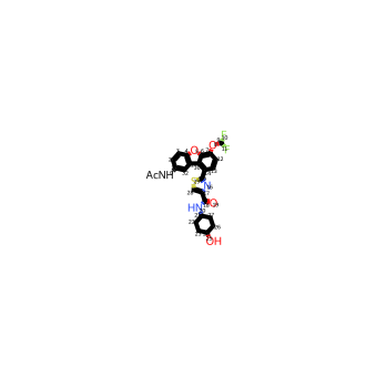 CC(=O)Nc1ccc2oc3c(OC(F)F)ccc(-c4nc(C(=O)NC5CCC(O)CC5)cs4)c3c2c1